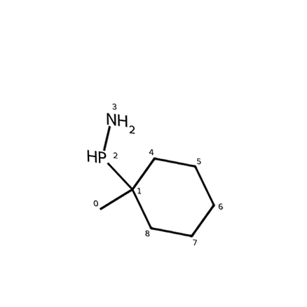 CC1(PN)CCCCC1